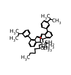 CCCCC[CH2][Hf]([CH3])([CH3])([CH3])(=[SiH2])([CH]1C=Cc2c(-c3cccc(C(C)C)c3)cccc21)[CH]1C=Cc2c(-c3cccc(C(C)C)c3)cccc21